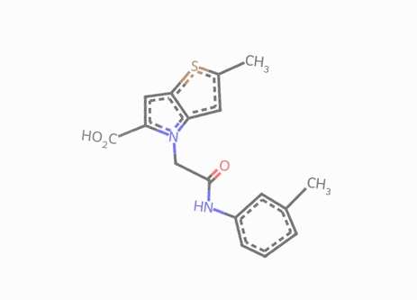 Cc1cccc(NC(=O)Cn2c(C(=O)O)cc3sc(C)cc32)c1